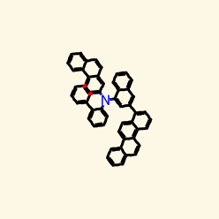 c1ccc(-c2ccccc2N(c2ccc3c(ccc4ccccc43)c2)c2cc(-c3cccc4c3ccc3c5ccccc5ccc43)cc3ccccc23)cc1